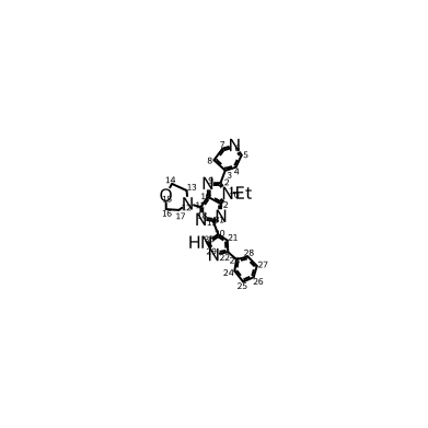 CCn1c(-c2ccncc2)nc2c(N3CCOCC3)nc(-c3cc(-c4ccccc4)n[nH]3)nc21